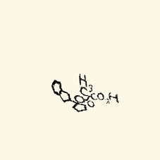 CC(C(=O)O)C(=O)OC1(C2Cc3ccccc3C2)CCCC1